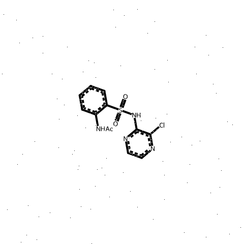 CC(=O)Nc1ccccc1S(=O)(=O)Nc1nccnc1Cl